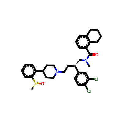 CN(C[C@@H](CCN1CCC(c2ccccc2[S@+](C)[O-])CC1)c1ccc(Cl)c(Cl)c1)C(=O)c1cccc2c1CCCC2